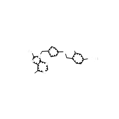 CCCc1nc2c(C)ncnc2n1Cc1ccc(OCc2ccc(C(=O)O)cc2Cl)cc1